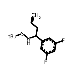 C=CCC(NSC(C)(C)C)c1cc(F)cc(F)c1